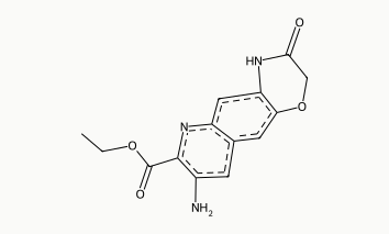 CCOC(=O)c1nc2cc3c(cc2cc1N)OCC(=O)N3